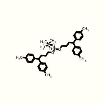 Cc1ccc(C(CCCOB(OCCCC(c2ccc(C)cc2)c2ccc(C)cc2)OP(C)(C)(C)C)c2ccc(C)cc2)cc1